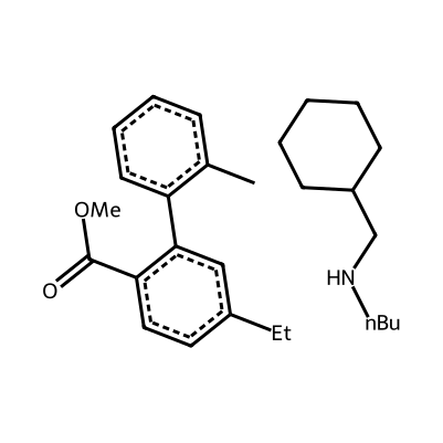 CCCCNCC1CCCCC1.CCc1ccc(C(=O)OC)c(-c2ccccc2C)c1